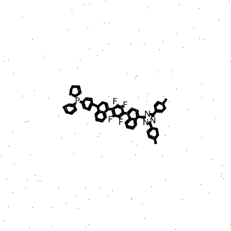 CC1=CC=C(c2nc(C3=CCC(C)C=C3)nc(-c3ccc(-c4c(F)c(F)c(C5=CCC(c6ccc(P(c7ccccc7)C7C=CCCC7)cc6)c6ccccc65)c(F)c4F)c4ccccc34)n2)CC1